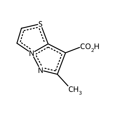 Cc1nn2ccsc2c1C(=O)O